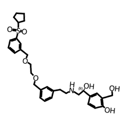 O=S(=O)(c1cccc(COCCOCc2cccc(CCNC[C@H](O)c3ccc(O)c(CO)c3)c2)c1)C1CCCC1